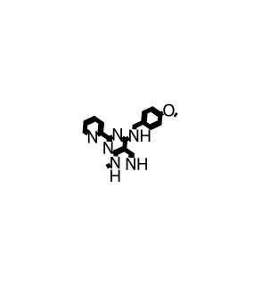 CNc1nc(-c2ccccn2)nc(NCc2ccc(OC)cc2)c1C=N